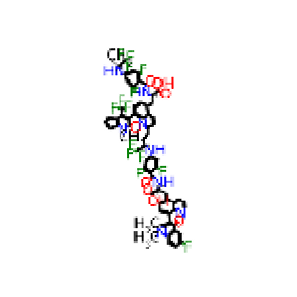 CC[C@@H](Nc1cc(F)c(C(=O)N[C@@H](Cc2ccc(-c3c(C(F)(F)F)c4c(n(C)c3=O)CCC4)c3nc(CC[C@@H](Nc4cc(F)c(C(=O)N[C@@H](Cc5ccc(-c6c(C)n(C)c7ccc(F)cc7c6=O)c6ncccc56)C(=O)O)c(F)c4)C(F)(F)F)ccc23)C(=O)O)c(F)c1)C(F)(F)F